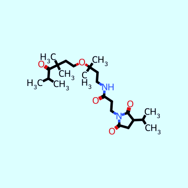 CC(C)C(=O)C(C)(C)CCOC(C)(C)CCNC(=O)CCN1C(=O)CC(C(C)C)C1=O